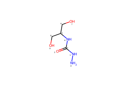 NNC(=O)NC(CO)CO